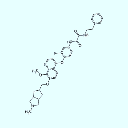 COc1c(OCC2CC3CN(C)CC3C2)ccc2c(Oc3ccc(NC(=O)C(=O)NCCc4ccccc4)cc3F)ccnc12